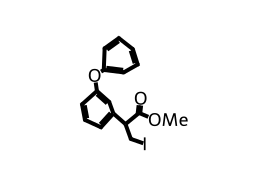 COC(=O)C(CI)c1cccc(Oc2ccccc2)c1